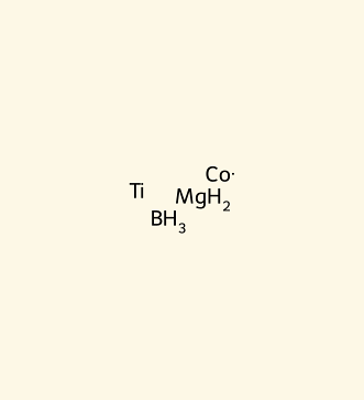 B.[Co].[MgH2].[Ti]